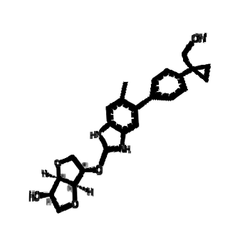 Cc1cc2c(cc1-c1ccc(C3(CO)CC3)cc1)NC(O[C@@H]1CO[C@H]3[C@@H]1OC[C@H]3O)N2